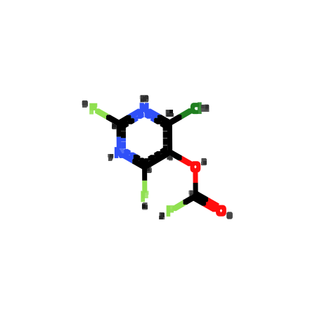 O=C(F)Oc1c(F)nc(F)nc1Cl